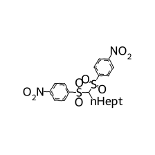 CCCCCCCC(S(=O)(=O)c1ccc([N+](=O)[O-])cc1)S(=O)(=O)c1ccc([N+](=O)[O-])cc1